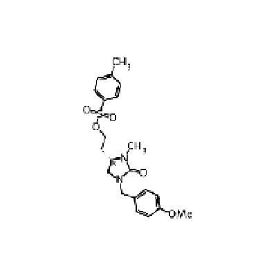 COc1ccc(CN2C[C@H](CCOS(=O)(=O)c3ccc(C)cc3)N(C)C2=O)cc1